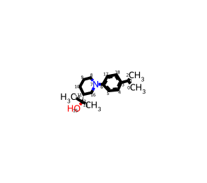 CC(C)c1ccc(N2CCC[C@@H](C(C)(C)O)C2)cc1